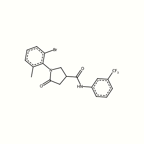 Cc1cccc(Br)c1N1CC(C(=O)Nc2cccc(C(F)(F)F)c2)CC1=O